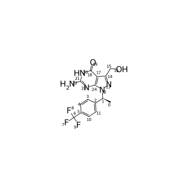 C[C@@H](c1ccc(C(F)(F)F)cc1)n1nc(CO)c2c(=O)[nH]c(N)nc21